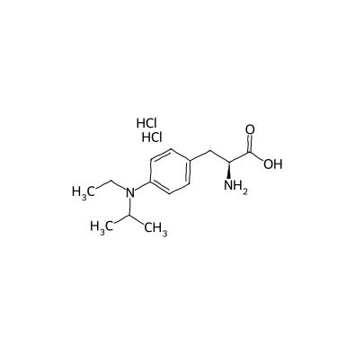 CCN(c1ccc(C[C@H](N)C(=O)O)cc1)C(C)C.Cl.Cl